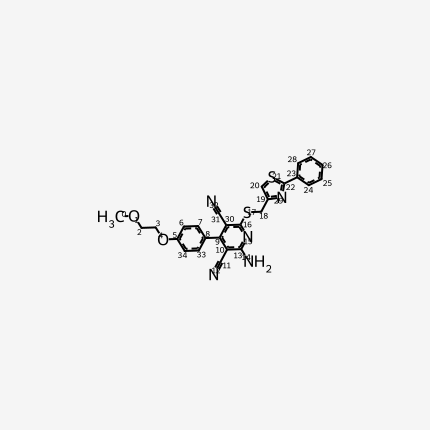 COCCOc1ccc(-c2c(C#N)c(N)nc(SCc3csc(-c4ccccc4)n3)c2C#N)cc1